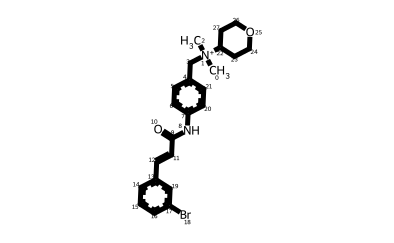 C[N+](C)(Cc1ccc(NC(=O)/C=C/c2cccc(Br)c2)cc1)C1CCOCC1